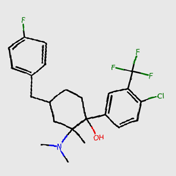 CN(C)C1(C)CC(Cc2ccc(F)cc2)CCC1(O)c1ccc(Cl)c(C(F)(F)F)c1